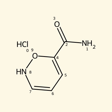 Cl.NC(=O)C1=CC=CNO1